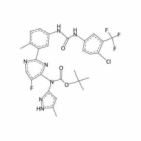 Cc1cc(N(C(=O)OC(C)(C)C)c2nc(-c3cc(NC(=O)Nc4ccc(Cl)c(C(F)(F)F)c4)ccc3C)ncc2F)n[nH]1